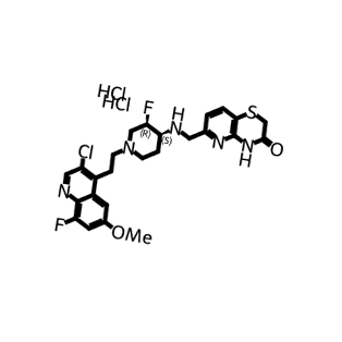 COc1cc(F)c2ncc(Cl)c(CCN3CC[C@H](NCc4ccc5c(n4)NC(=O)CS5)[C@H](F)C3)c2c1.Cl.Cl